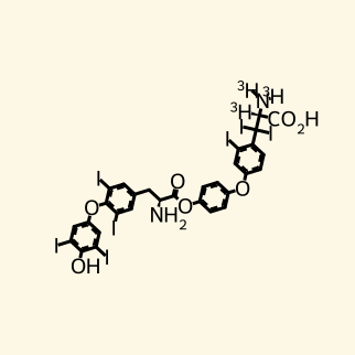 [3H]N([3H])[C@]([3H])(C(=O)O)C(I)(I)c1ccc(Oc2ccc(OC(=O)[C@@H](N)Cc3cc(I)c(Oc4cc(I)c(O)c(I)c4)c(I)c3)cc2)cc1I